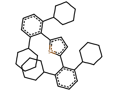 c1cc(C2CCCCC2)c(-c2ccc(-c3c(C4CCCCC4)cccc3C3CCCCC3)s2)c(C2CCCCC2)c1